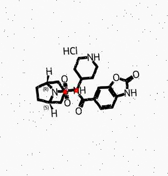 Cl.O=C(N[C@H]1C[C@H]2CC[C@@H](C1)N2S(=O)(=O)CC1CCNCC1)c1ccc2[nH]c(=O)oc2c1